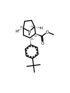 COC(=O)[C@H]1[C@H](c2ccc(C(C)(C)C)cc2)C[C@H]2CC[C@@H]1N2C